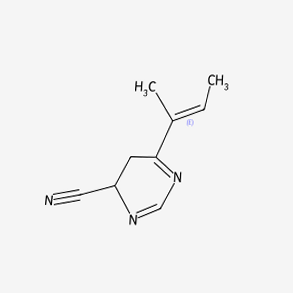 C/C=C(\C)C1=NC=NC(C#N)C1